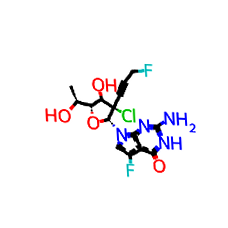 C[C@H](O)[C@H]1O[C@@H](n2cc(F)c3c(=O)[nH]c(N)nc32)[C@@](Cl)(C#CCF)C1O